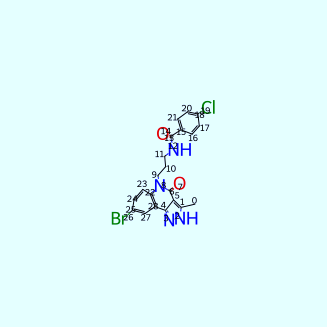 Cc1[nH]nc2c1c(=O)n(CCCNC(=O)c1ccc(Cl)cc1)c1ccc(Br)cc21